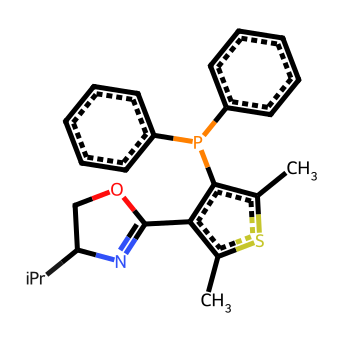 Cc1sc(C)c(P(c2ccccc2)c2ccccc2)c1C1=NC(C(C)C)CO1